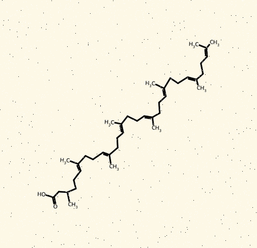 CC(C)=CCCC(C)=CCCC(C)=CCCC(C)=CCCC(C)=CCCC(C)=CCCC(C)=CCCC(C)CC(=O)O